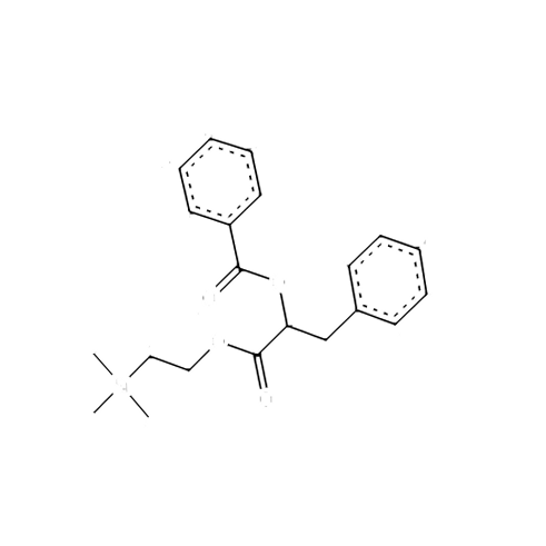 C[Si](C)(C)CCOC(=O)C(Cc1ccccc1)OC(=O)c1ccccc1